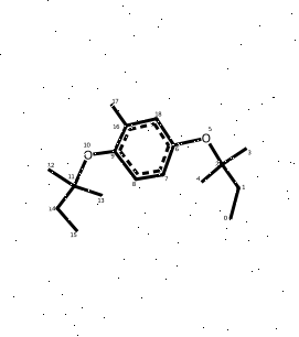 CCC(C)(C)Oc1ccc(OC(C)(C)CC)c(C)c1